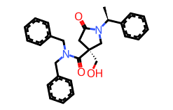 C[C@@H](c1ccccc1)N1C[C@@](CO)(C(=O)N(Cc2ccccc2)Cc2ccccc2)CC1=O